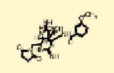 COc1cccc(C(=O)NC2CN3C(=N)NC(CN4C(=O)CCC4=O)[C@@H]4NC(=N)N[C@@]43C2(O)O)c1